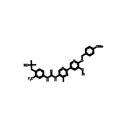 CCOc1cc(-c2ncc(NC(=O)Nc3ccc(CC(C)(C)C#N)c(C(F)(F)F)c3)c(C)n2)cnc1OCc1ccc(OC)cc1